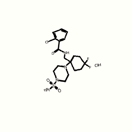 CCCS(=O)(=O)N1CCN(C2(CNC(=O)c3ccccc3Cl)CCC(F)(F)CC2)CC1.Cl